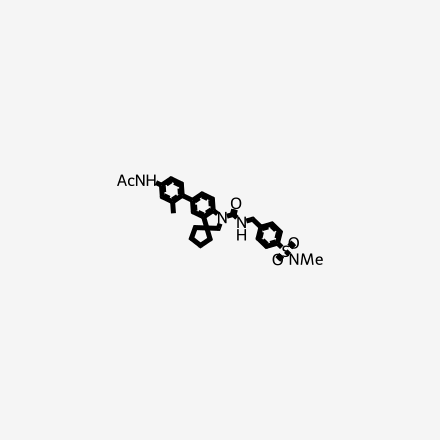 CNS(=O)(=O)c1ccc(CNC(=O)N2CC3(CCCC3)c3cc(-c4ccc(NC(C)=O)cc4C)ccc32)cc1